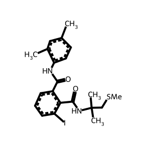 CSCC(C)(C)NC(=O)c1c(I)cccc1C(=O)Nc1ccc(C)cc1C